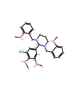 COc1ccccc1CN1CCCN(Cc2ccccc2OC)C1c1cc(Br)c(OC)c(OC)c1